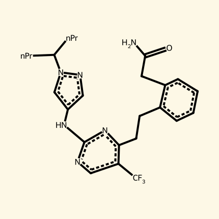 CCCC(CCC)n1cc(Nc2ncc(C(F)(F)F)c(CCc3ccccc3CC(N)=O)n2)cn1